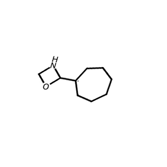 C1CCC[C](C2NCO2)CC1